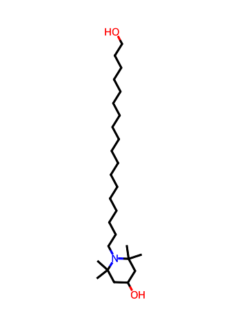 CC1(C)CC(O)CC(C)(C)N1CCCCCCCCCCCCCCCCCCO